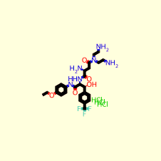 CCOc1ccc(NC(=O)[C@@H](NC(=O)[C@@H](N)CC(=O)N(CCN)CCN)[C@H](O)c2ccc(C(F)(F)F)cc2)cc1.Cl.Cl.Cl